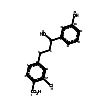 O=C(O)c1ccc(CCC(O)c2cccc(O)c2)cc1Cl